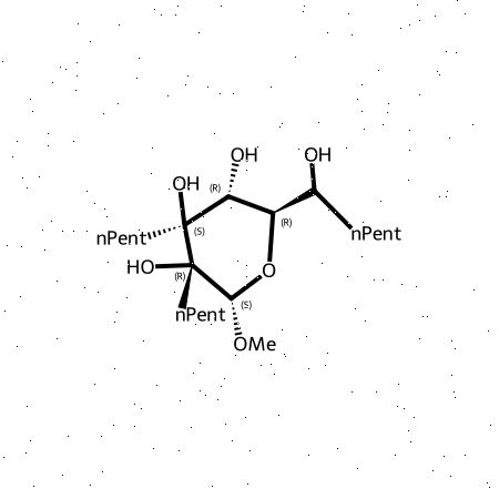 CCCCCC(O)[C@H]1O[C@H](OC)[C@@](O)(CCCCC)[C@](O)(CCCCC)[C@@H]1O